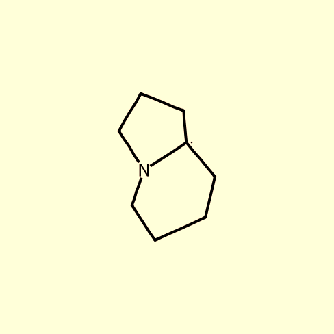 C1CCN2CCC[C]2C1